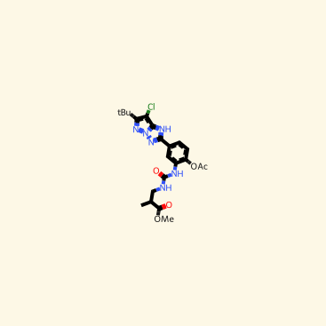 COC(=O)C(C)CNC(=O)Nc1cc(-c2nn3nc(C(C)(C)C)c(Cl)c3[nH]2)ccc1OC(C)=O